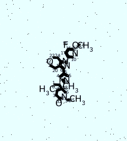 CCC(n1cc(-c2nn(-c3cnc(OC)c(F)c3)c3c2CCOCC3)cn1)C1(C)CCC(=O)N(CC)C1